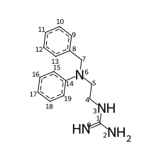 N=C(N)NCCN(Cc1ccccc1)c1ccccc1